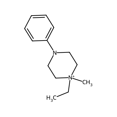 CC[N+]1(C)CCN(c2ccccc2)CC1